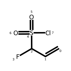 C=CC(F)S(=O)(=O)Cl